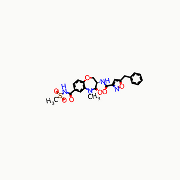 CN1C(=O)[C@@H](NC(=O)c2cc(Cc3ccccc3)on2)COc2ccc(C(=O)NS(C)(=O)=O)cc21